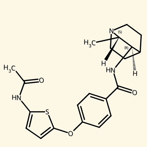 CC(=O)Nc1ccc(Oc2ccc(C(=O)N[C@@H]3C4CCN(CC4)[C@H]3C)cc2)s1